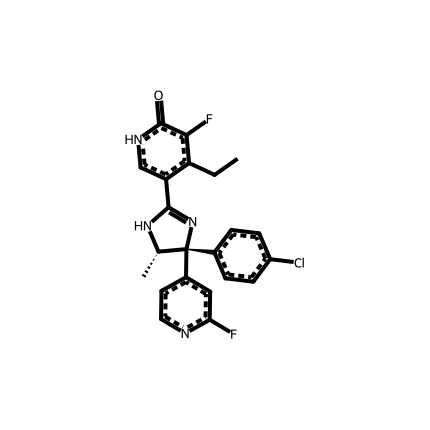 CCc1c(C2=N[C@](c3ccc(Cl)cc3)(c3ccnc(F)c3)[C@H](C)N2)c[nH]c(=O)c1F